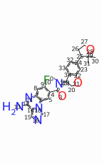 CN(C(=O)c1cc2c(cc1F)nc(N)c1cncn12)[C@@H]1COc2cc(C3CCOC3(C)C)ccc21